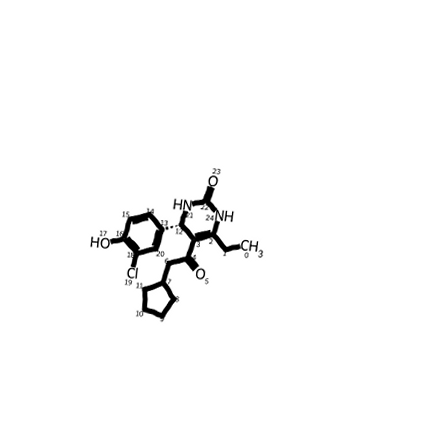 CCC1=C(C(=O)CC2CCCC2)[C@H](c2ccc(O)c(Cl)c2)NC(=O)N1